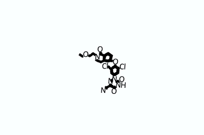 CCOCCN1CCc2cc(Oc3c(Cl)cc(-n4nc(C#N)c(=O)[nH]c4=O)cc3Cl)ccc2C1=O